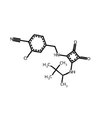 CC(Nc1c(NCc2ccc(C#N)c(Cl)c2)c(=O)c1=O)C(C)(C)C